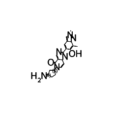 Cc1c(O)c(-c2ncc3c(=O)n([C@H]4CC[C@@H](N)C4)ccc3n2)cc2cn(C)nc12